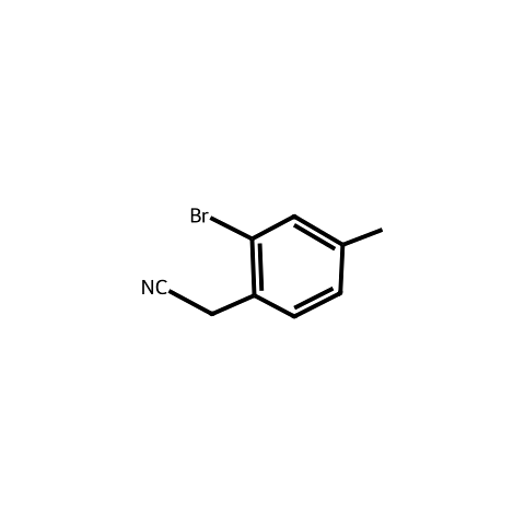 Cc1ccc(CC#N)c(Br)c1